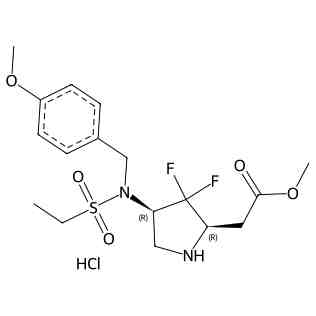 CCS(=O)(=O)N(Cc1ccc(OC)cc1)[C@@H]1CN[C@H](CC(=O)OC)C1(F)F.Cl